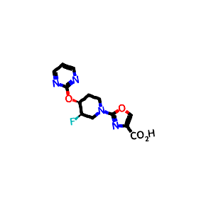 O=C(O)c1coc(N2CC[C@H](Oc3ncccn3)[C@H](F)C2)n1